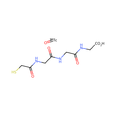 O=C(O)CNC(=O)CNC(=O)CNC(=O)CS.[O]=[99Tc]